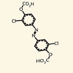 O=C(O)Oc1ccc(N=Nc2ccc(OC(=O)O)c(Cl)c2)cc1Cl